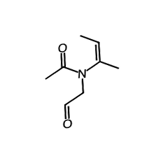 CC=C(C)N(CC=O)C(C)=O